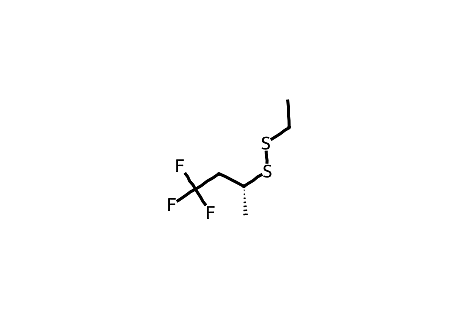 CCSS[C@H](C)CC(F)(F)F